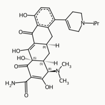 CC(C)N1CC=C(c2ccc(O)c3c2C[C@H]2C[C@H]4[C@@H](N(C)C)C(O)=C(C(N)=O)C(=O)[C@@]4(O)C(O)=C2C3=O)CC1